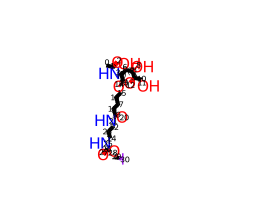 CC(=O)N[C@H]1C(O)[C@@H](O)C(CO)O[C@H]1OCCCCC(=O)NCCCNC(=O)OCI